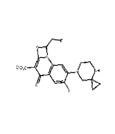 CCOC(=O)c1c2n(c3cc(N4CCNC5(CC5)C4)c(F)cc3c1=O)C(CF)S2